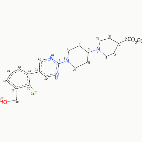 CCOC(=O)C1CCN(C2CCN(c3ncc(-c4cccc(CO)c4F)cn3)CC2)CC1